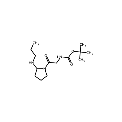 CCCNC1CCCN1C(=O)CNC(=O)OC(C)(C)C